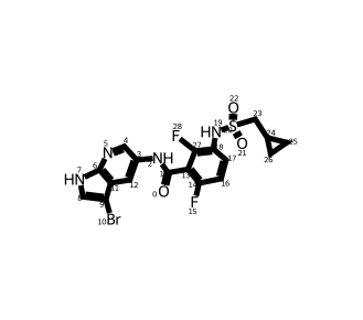 O=C(Nc1cnc2[nH]cc(Br)c2c1)c1c(F)ccc(NS(=O)(=O)CC2CC2)c1F